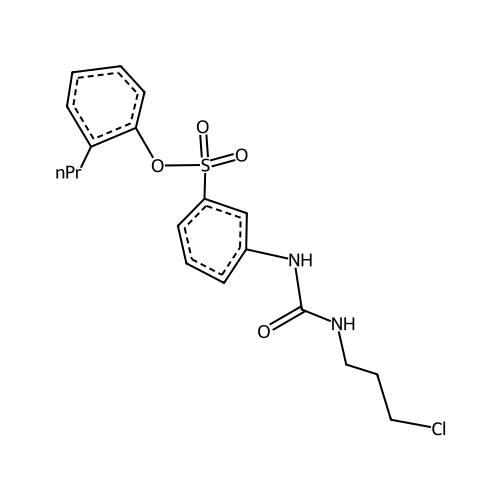 CCCc1ccccc1OS(=O)(=O)c1cccc(NC(=O)NCCCCl)c1